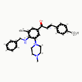 CN1CCN(c2cc(C(=O)/C=C/c3ccc(C(=O)O)cc3)cc(C(C)(C)C)c2NCc2ccccc2)CC1